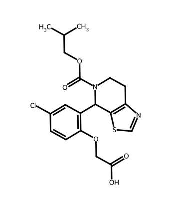 CC(C)COC(=O)N1CCc2ncsc2C1c1cc(Cl)ccc1OCC(=O)O